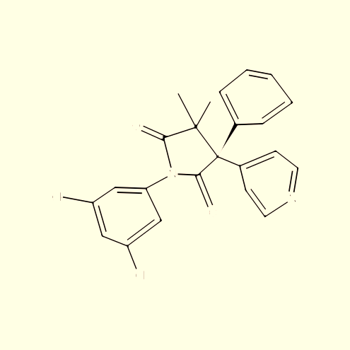 CC1(C)C(=O)N(c2cc(Cl)cc(Cl)c2)C(=O)[C@@]1(c1ccccc1)c1ccncc1